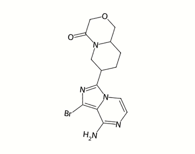 Nc1nccn2c(C3CCC4COCC(=O)N4C3)nc(Br)c12